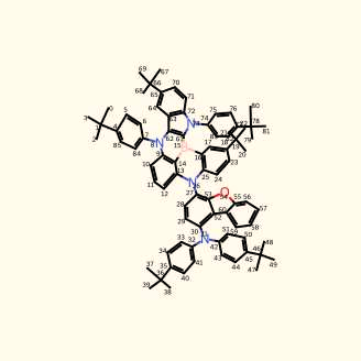 CC(C)(C)c1ccc(N2c3cccc4c3B(c3cc(C(C)(C)C)ccc3N4c3ccc(N(c4ccc(C(C)(C)C)cc4)c4ccc(C(C)(C)C)cc4)c4c3oc3ccccc34)c3c2c2cc(C(C)(C)C)ccc2n3-c2ccc(C(C)(C)C)cc2)cc1